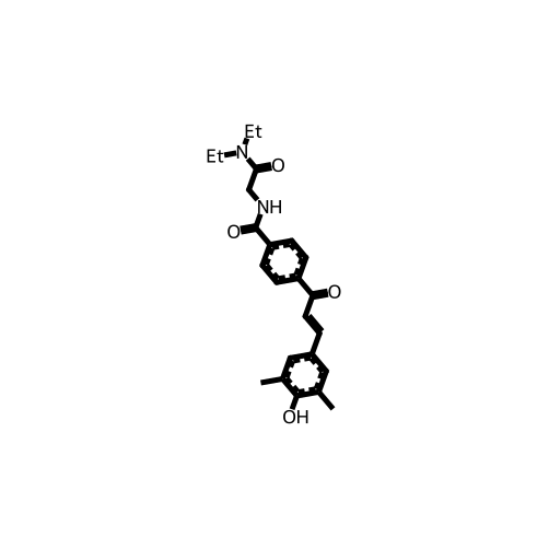 CCN(CC)C(=O)CNC(=O)c1ccc(C(=O)C=Cc2cc(C)c(O)c(C)c2)cc1